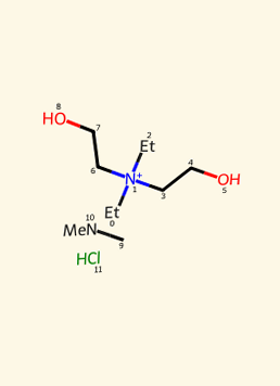 CC[N+](CC)(CCO)CCO.CNC.Cl